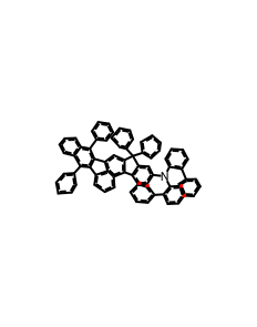 c1ccc(-c2ccccc2N(c2ccc3c(c2)C(c2ccccc2)(c2ccccc2)c2cc4c5c(cccc5c2-3)-c2c-4c(-c3ccccc3)c3ccccc3c2-c2ccccc2)c2ccccc2-c2ccccc2)cc1